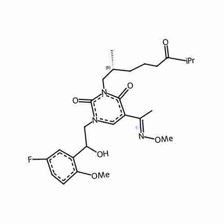 CO/N=C(\C)c1cn(CC(O)c2cc(F)ccc2OC)c(=O)n(C[C@H](C)CCCC(=O)C(C)C)c1=O